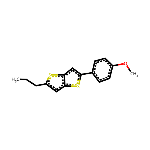 CCCc1cc2sc(-c3ccc(OC)cc3)cc2s1